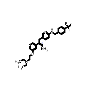 CCN(CC)CCOc1cncc(/C(=C\N)Cc2ccc(NCC3C=CC(C(F)(F)F)=CC3)nc2)c1